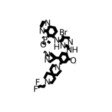 COc1cc(N2CCC3(CCN(CC(F)F)CC3)CC2)c(-c2cnn(C)c2)cc1Nc1ncc(Br)c(Nc2ccc3nccnc3c2P(C)(C)=O)n1